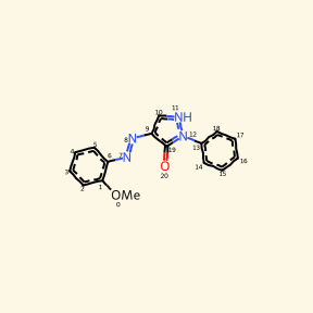 COc1ccccc1N=Nc1c[nH]n(-c2ccccc2)c1=O